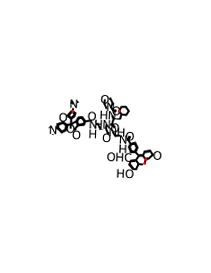 CC1=CC(=O)C=C/C1=C(/C1=CC=C(O)CC1C)c1ccc(C(=O)NCCNC(=O)[C@H](CCNC(=O)c2ccc3c(c2)C(=O)OC32c3ccc(N(C)C)cc3Oc3cc(N(C)C)ccc32)NC(=O)[C@H](CC2CCCCC2)NC(=O)N2CCOCC2)cc1C=O